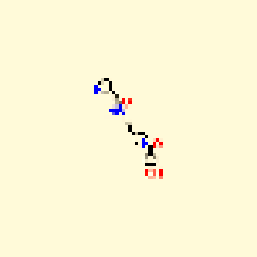 O=C(/C=C/c1cccnc1)NCCCCC1CCN(C(=O)c2ccc(O)cc2)CC1